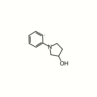 OC1CCN(c2[c]cccc2)C1